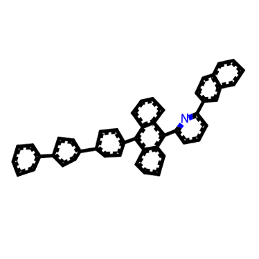 c1ccc(-c2ccc(-c3ccc(-c4c5ccccc5c(-c5cccc(-c6ccc7ccccc7c6)n5)c5ccccc45)cc3)cc2)cc1